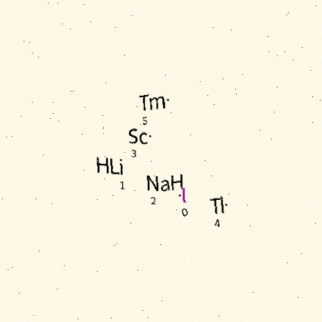 [I].[LiH].[NaH].[Sc].[Tl].[Tm]